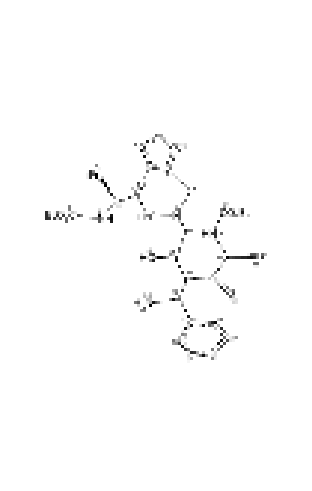 CCOC(=O)N[C@H](C(=O)NN(Cc1cccs1)C[C@H](O)C(C(=O)[C@@H](NC(=O)OCC)C(C)C)C(N)c1ccccc1)C(C)C